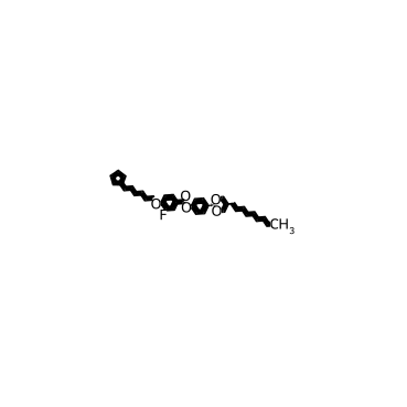 CCCCCCCCC[C@H]1CO[C@H](c2ccc(OC(=O)c3ccc(OCCCCCCC4CCCC4)c(F)c3)cc2)OC1